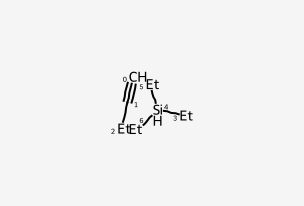 C#CCC.CC[SiH](CC)CC